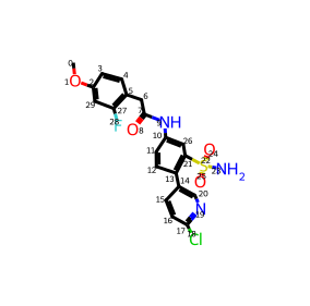 COc1ccc(CC(=O)Nc2ccc(-c3ccc(Cl)nc3)c(S(N)(=O)=O)c2)c(F)c1